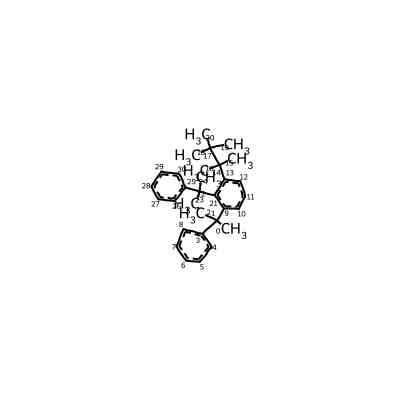 CC(C)(c1ccccc1)c1cccc(C(C)(C)C(C)(C)C)c1C(C)(C)c1ccccc1